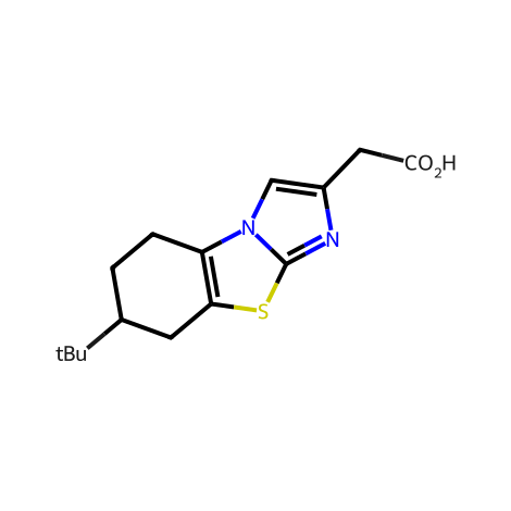 CC(C)(C)C1CCc2c(sc3nc(CC(=O)O)cn23)C1